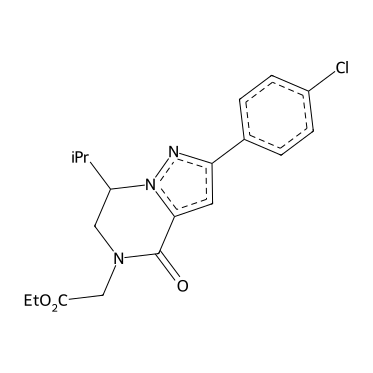 CCOC(=O)CN1CC(C(C)C)n2nc(-c3ccc(Cl)cc3)cc2C1=O